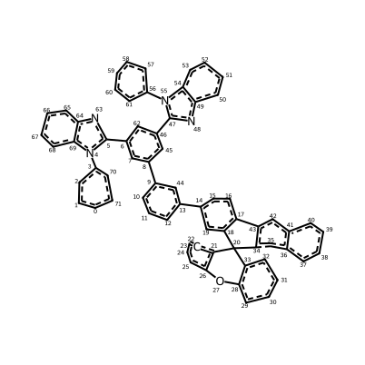 c1ccc(-n2c(-c3cc(-c4cccc(-c5ccc6c(c5)C5(c7ccccc7Oc7ccccc75)c5cc7ccccc7cc5-6)c4)cc(-c4nc5ccccc5n4-c4ccccc4)c3)nc3ccccc32)cc1